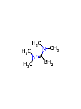 BC(N(C)C)=[N+](C)C